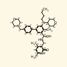 CCCCN(c1cc(-c2ccc(CN3CCOCC3)cc2)cc(C(O)NCc2c(C)cc(C)[nH]c2=O)c1C)C1CCOCC1